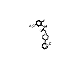 Cc1ccc(F)c(NC(=O)CN2CCC(c3cccc[n+]3[O-])CC2)c1